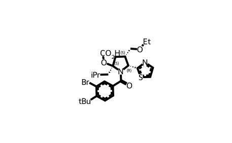 CCOC[C@H]1C[C@](CC(C)C)(OC(=O)O)N(C(=O)c2ccc(C(C)(C)C)c(Br)c2)[C@H]1c1nccs1